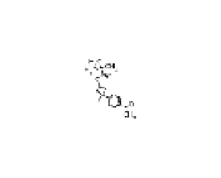 CC(=O)c1ccc(C2(F)CN(OC(=O)C(C)(C)C)C2)cc1